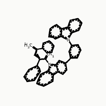 C=C(/C=C(\C(=C)n1c2ccccc2c2ccc(-c3cccc(-n4c5ccccc5c5ccccc54)c3)cc21)c1ccccc1)c1ccccc1